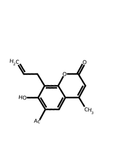 C=CCc1c(O)c(C(C)=O)cc2c(C)cc(=O)oc12